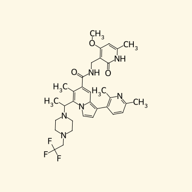 COc1cc(C)[nH]c(=O)c1CNC(=O)c1cc2c(-c3ccc(C)nc3C)ccn2c(C(C)N2CCN(CC(F)(F)F)CC2)c1C